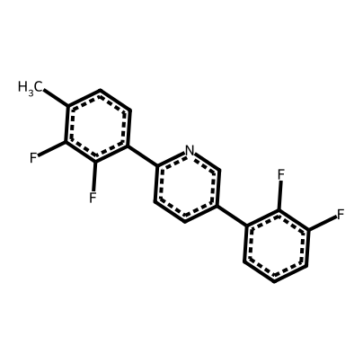 Cc1ccc(-c2ccc(-c3cccc(F)c3F)cn2)c(F)c1F